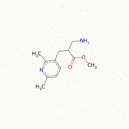 COC(=O)C(CN)Cc1ccc(C)nc1C